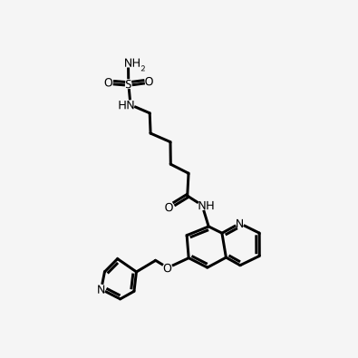 NS(=O)(=O)NCCCCCC(=O)Nc1cc(OCc2ccncc2)cc2cccnc12